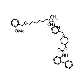 COc1ccccc1COCCCCCC[N+](C)(C)Cc1cccc(CN2CCC(OC(=O)Nc3ccccc3-c3ccccc3)CC2)n1